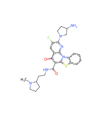 CN1CCCC1CCNC(=O)c1c(=O)c2cc(F)c(N3CCC(N)C3)nc2n2c1sc1ccccc12